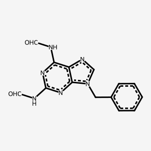 O=CNc1nc(NC=O)c2ncn(Cc3ccccc3)c2n1